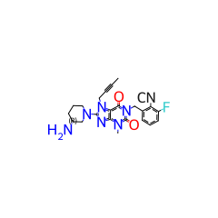 CC#CCn1c(N2CCC[C@@H](N)C2)nc2c1c(=O)n(Cc1cccc(F)c1C#N)c(=O)n2C